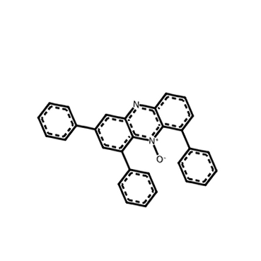 [O-][n+]1c2c(-c3ccccc3)cccc2nc2cc(-c3ccccc3)cc(-c3ccccc3)c21